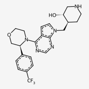 O[C@@H]1CNCC[C@H]1Cn1ccc2c(N3CCOC[C@@H]3c3ccc(C(F)(F)F)cc3)ncnc21